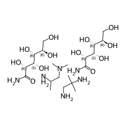 CC(C)(N)CN.CC(N)CN(C)C.NC(=O)[C@H](O)[C@@H](O)[C@H](O)[C@H](O)CO.NC(=O)[C@H](O)[C@@H](O)[C@H](O)[C@H](O)CO